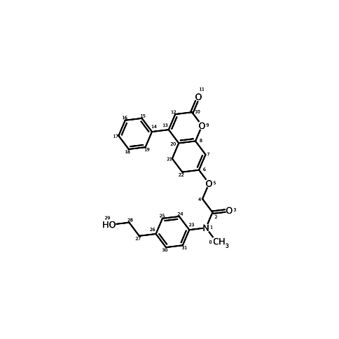 CN(C(=O)COC1=Cc2oc(=O)cc(-c3ccccc3)c2CC1)c1ccc(CCO)cc1